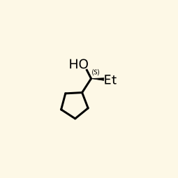 CC[C@H](O)C1CCCC1